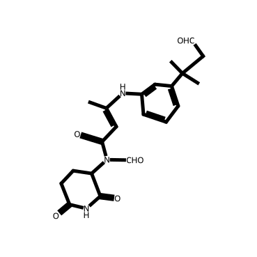 C/C(=C\C(=O)N(C=O)C1CCC(=O)NC1=O)Nc1cccc(C(C)(C)CC=O)c1